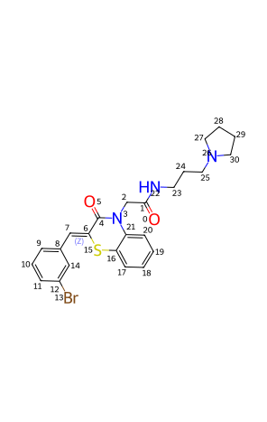 O=C(CN1C(=O)/C(=C/c2cccc(Br)c2)Sc2ccccc21)NCCCN1CCCC1